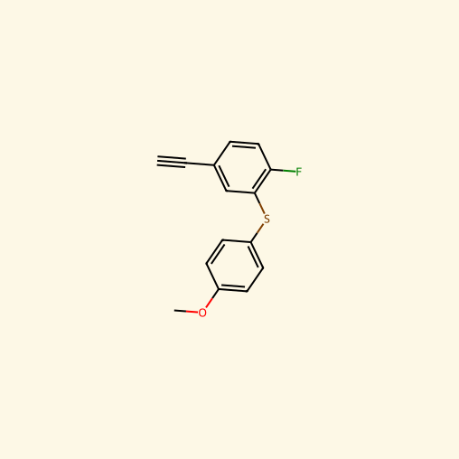 C#Cc1ccc(F)c(Sc2ccc(OC)cc2)c1